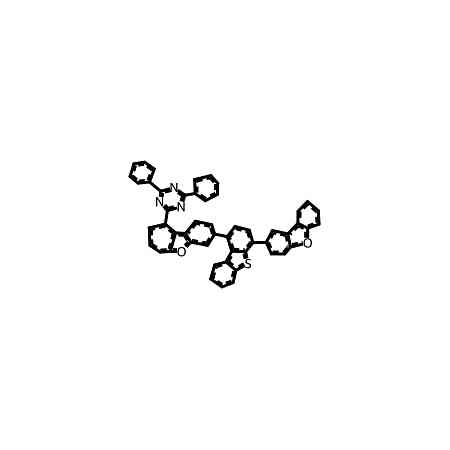 c1ccc(-c2nc(-c3ccccc3)nc(-c3cccc4oc5cc(-c6ccc(-c7ccc8oc9ccccc9c8c7)c7sc8ccccc8c67)ccc5c34)n2)cc1